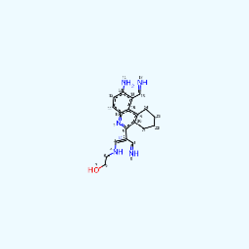 N=C/C(=C\NCCO)c1nc2ccc(N)c(C=N)c2c2c1CCCC2